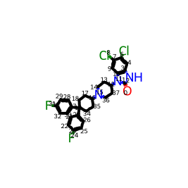 O=c1[nH]c2cc(Cl)c(Cl)cc2n1C1CCN(C2CCC(c3ccc(F)cc3)(c3ccc(F)cc3)CC2)CC1